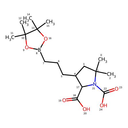 CC1(C)CC(CCCB2OC(C)(C)C(C)(C)O2)C(C(=O)O)N1C(=O)O